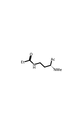 CCC(=O)NCC[C@@H](NC)C(C)=O